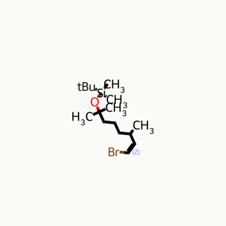 CC(/C=C\Br)CCCC(C)(C)O[Si](C)(C)C(C)(C)C